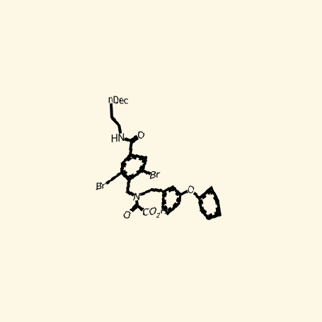 CCCCCCCCCCCCNC(=O)c1cc(Br)c(CN(Cc2cccc(Oc3ccccc3)c2)C(=O)C(=O)O)c(Br)c1